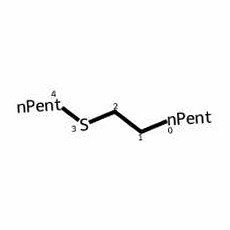 CCCCCCCSCCCCC